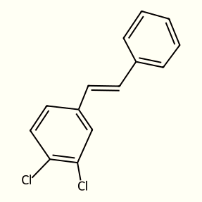 Clc1ccc(C=Cc2ccccc2)cc1Cl